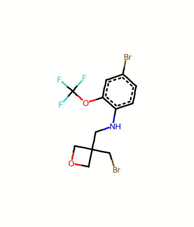 FC(F)(F)Oc1cc(Br)ccc1NCC1(CBr)COC1